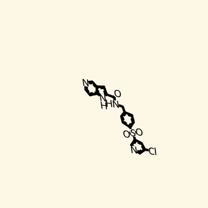 O=C(NCc1ccc(S(=O)(=O)c2cncc(Cl)c2)cc1)c1cc2cnccc2[nH]1